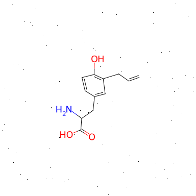 C=CCc1cc(CC(N)C(=O)O)ccc1O